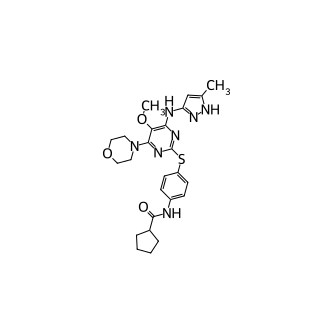 COc1c(Nc2cc(C)[nH]n2)nc(Sc2ccc(NC(=O)C3CCCC3)cc2)nc1N1CCOCC1